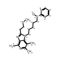 COCCc1nc2c(N)nc(C)c(C)c2n1CCCCC[S+]([O-])c1ncccn1